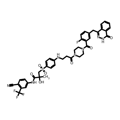 CC(O)(CS(=O)(=O)c1ccc(NCCC(=O)N2CCN(C(=O)c3cc(Cc4n[nH]c(=O)c5ccccc45)ccc3F)CC2)cc1)C(=O)Nc1ccc(C#N)c(C(F)(F)F)c1